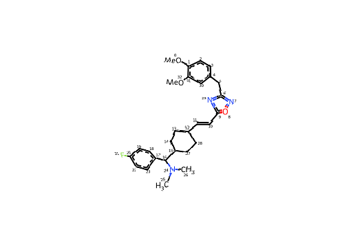 COc1ccc(Cc2noc(C=CC3CCC(C(c4ccc(F)cc4)N(C)C)CC3)n2)cc1OC